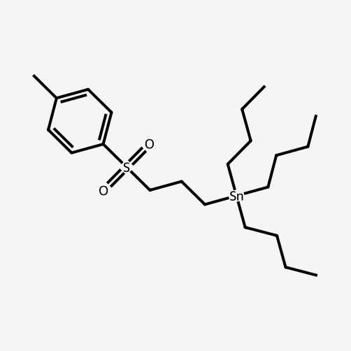 CCC[CH2][Sn]([CH2]CCC)([CH2]CCC)[CH2]CCS(=O)(=O)c1ccc(C)cc1